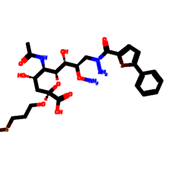 CCSCCCO[C@]1(C(=O)O)C[C@H](O)[C@@H](NC(C)=O)[C@H]([C@H](O)[C@@H](CN(N)C(=O)c2ccc(-c3ccccc3)s2)ON)O1